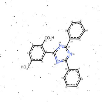 O=C(O)c1ccc(C(=O)O)c(-c2nc(-c3ccccc3)nc(-c3ccccc3)n2)c1